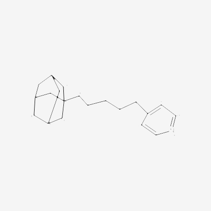 [CH](CCCCC12CC3CC(CC(C3)C1)C2)c1ccncc1